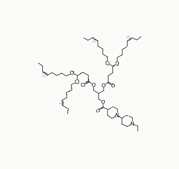 CC/C=C\CCCCOC(CCC(=O)OCC(COC(=O)CCC(OCCCC/C=C\CC)OCCCC/C=C\CC)COC(=O)C1CCN(C2CCN(CC)CC2)CC1)OCCCC/C=C\CC